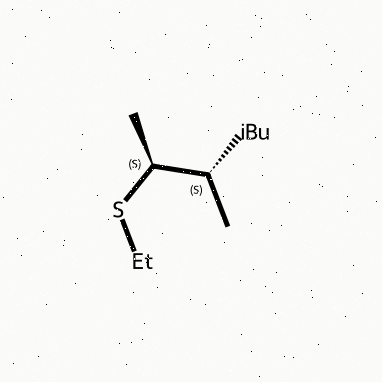 CCS[C@@H](C)[C@@H](C)C(C)CC